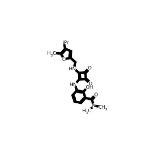 Cc1oc(CNc2c(Nc3cccc(C(=O)N(C)C)c3O)c(=O)c2=O)cc1C(C)C